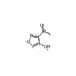 CC(=O)c1nocc1O